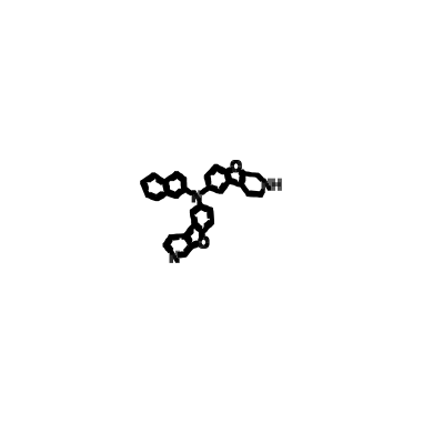 C1=Cc2c(oc3ccc(N(c4ccc5ccccc5c4)c4ccc5oc6cnccc6c5c4)cc23)CN1